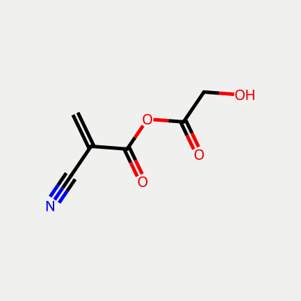 C=C(C#N)C(=O)OC(=O)CO